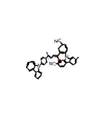 C#C/C(=C\C=C(/C)c1ccc(-n2c3ccccc3c3ccccc32)cc1)C1=C(n2c3cc(C)ccc3c3ccc(C#N)cc32)C=CC(C#N)C1